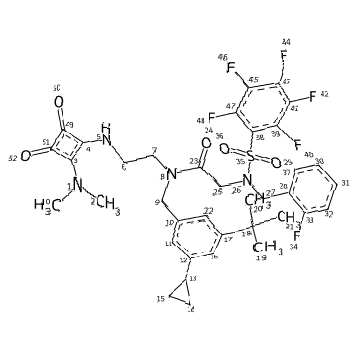 CN(C)c1c(NCCN(Cc2cc(C3CC3)cc(C(C)(C)C)c2)C(=O)CN(Cc2ccccc2F)S(=O)(=O)c2c(F)c(F)c(F)c(F)c2F)c(=O)c1=O